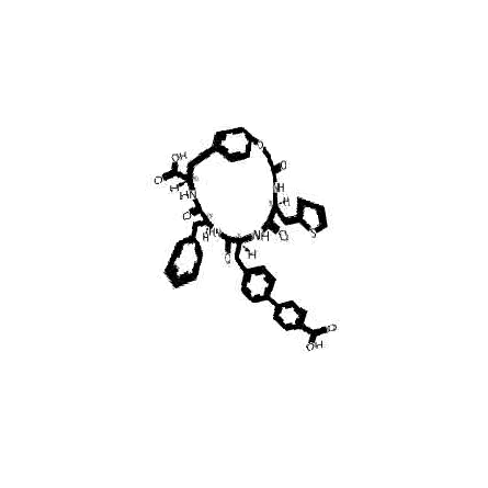 O=C1COc2ccc(cc2)C[C@@H](C(=O)O)NC(=O)[C@H](Cc2ccccc2)NC(=O)[C@H](Cc2ccc(-c3ccc(C(=O)O)cc3)cc2)NC(=O)[C@H](CC2CC=CS2)N1